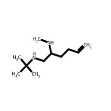 C=CCCC(CNC(C)(C)C)NC